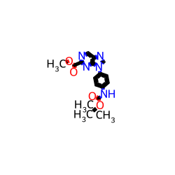 COC(=O)c1ncc2ncn(-c3ccc(NC(=O)OC(C)(C)C)cc3)c2n1